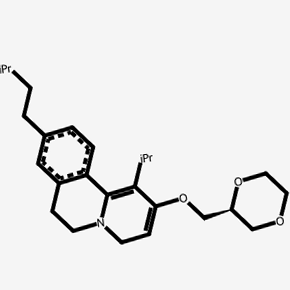 CC(C)CCc1ccc2c(c1)CCN1CC=C(OC[C@@H]3COCCO3)C(C(C)C)=C21